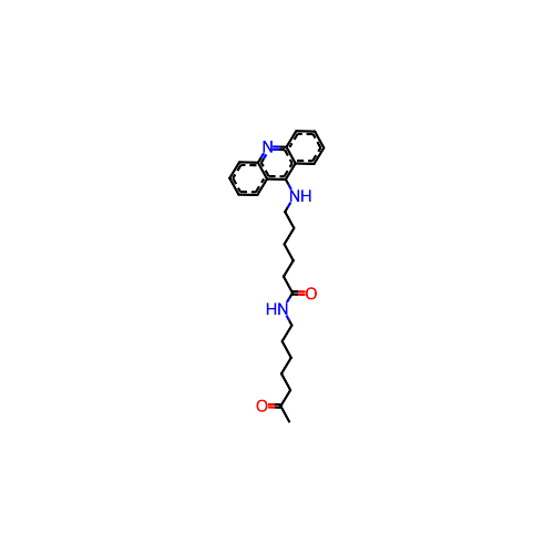 CC(=O)CCCCCNC(=O)CCCCCNc1c2ccccc2nc2ccccc12